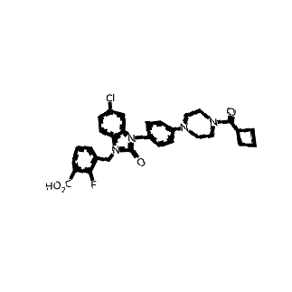 O=C(O)c1cccc(Cn2c(=O)n(-c3ccc(N4CCN(C(=O)C5CCC5)CC4)cc3)c3cc(Cl)ccc32)c1F